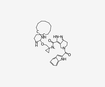 CN(C(=O)c1[nH]nc2c1CN(C(=O)c1cc3ccccc3[nH]1)CC2)C1(COC2NCCC3(CCCCCCCCCC3)N2)CC1